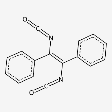 O=C=NC(=C(N=C=O)c1ccccc1)c1ccccc1